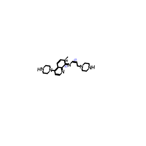 C[C@@H]1C=Cc2c(N3CCNCC3)ccnc2/C1=N/C=C\CN1CCNCC1